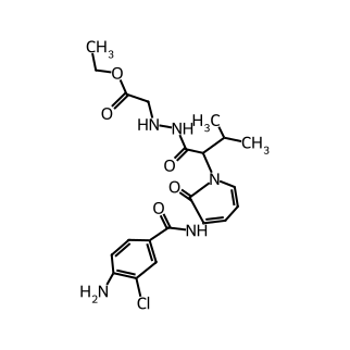 CCOC(=O)CNNC(=O)C(C(C)C)n1cccc(NC(=O)c2ccc(N)c(Cl)c2)c1=O